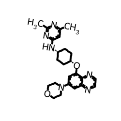 Cc1cc(N[C@H]2CC[C@@H](Oc3cc(N4CCOCC4)cc4nccnc34)CC2)nc(C)n1